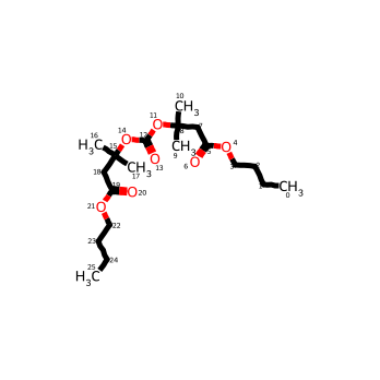 CCCCOC(=O)CC(C)(C)OC(=O)OC(C)(C)CC(=O)OCCCC